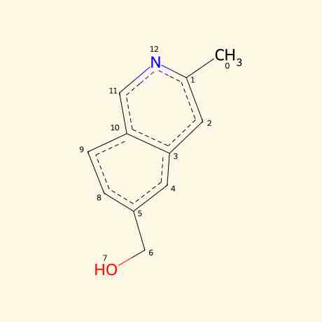 Cc1cc2cc(CO)ccc2cn1